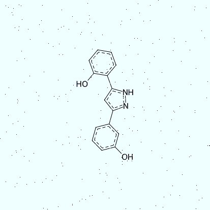 Oc1cccc(-c2cc(-c3ccccc3O)[nH]n2)c1